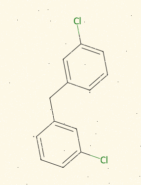 Clc1cc[c]c(Cc2[c]ccc(Cl)c2)c1